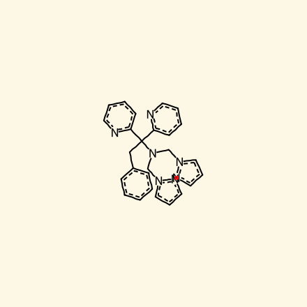 c1ccc(CC(c2ccccn2)(c2ccccn2)N(Cn2cccn2)Cn2cccn2)cc1